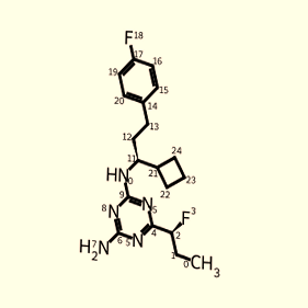 CC[C@H](F)c1nc(N)nc(N[C@@H](CCc2ccc(F)cc2)C2CCC2)n1